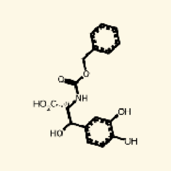 O=C(N[C@@H](C(=O)O)C(O)c1ccc(O)c(O)c1)OCc1ccccc1